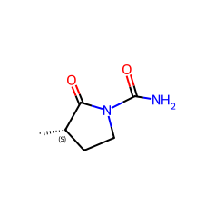 [CH2][C@H]1CCN(C(N)=O)C1=O